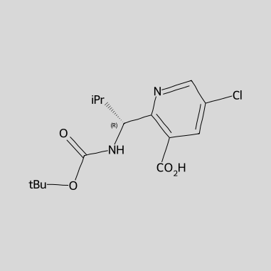 CC(C)[C@@H](NC(=O)OC(C)(C)C)c1ncc(Cl)cc1C(=O)O